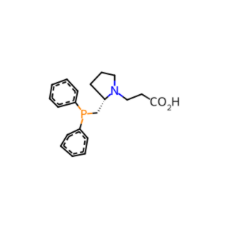 O=C(O)CCN1CCC[C@H]1CP(c1ccccc1)c1ccccc1